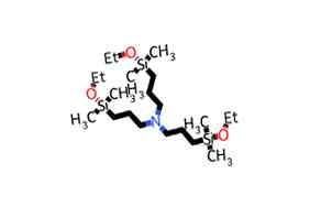 CCO[Si](C)(C)CCCN(CCC[Si](C)(C)OCC)CCC[Si](C)(C)OCC